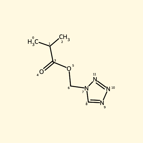 CC(C)C(=O)OCn1[c]nnn1